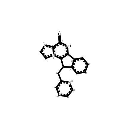 O=c1[nH]c2c(n3ccnc13)C(Cc1cnccn1)c1ccccc1-2